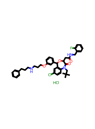 CC(C)(C)CN1C(=O)C(CC(=O)NCc2ccccc2F)OC(c2cccc(OCCCNCCCc3ccccc3)c2)c2cc(Cl)ccc21.Cl